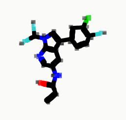 C=CC(=O)Nc1cnc2c(c1)c(-c1ccc(F)c(Cl)c1)cn2C(F)F